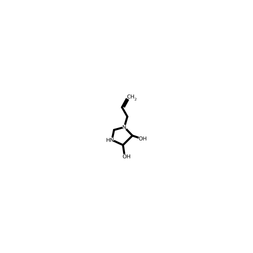 C=CCN1CNC(O)C1O